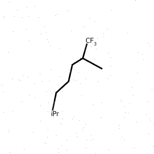 C[C](CCCC(C)C)C(F)(F)F